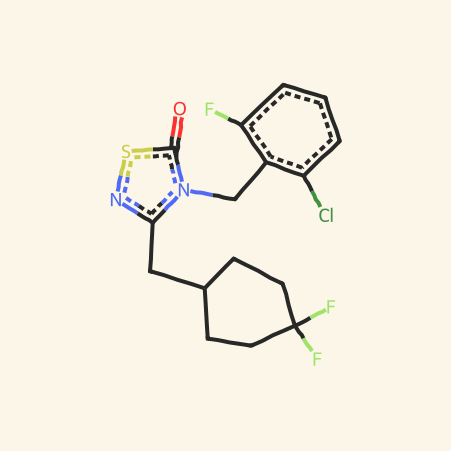 O=c1snc(CC2CCC(F)(F)CC2)n1Cc1c(F)cccc1Cl